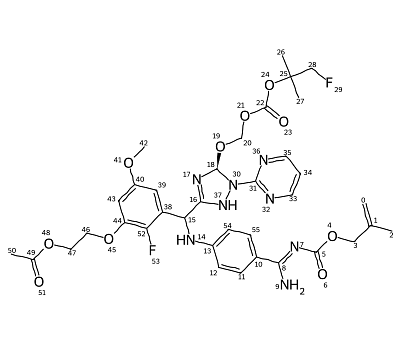 C=C(C)COC(=O)N=C(N)c1ccc(NC(C2=N[C@@H](OCOC(=O)OC(C)(C)CF)N(c3ncccn3)N2)c2cc(OC)cc(OCCOC(C)=O)c2F)cc1